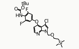 CC(C)(C)OC(=O)Nc1c(F)cc(Oc2ccnc3c2c(Cl)cn3COCC[Si](C)(C)C)cc1F